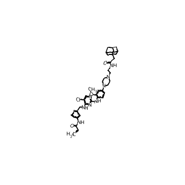 C=CC(=O)Nc1cccc(CNc2nc(Nc3ccc(N4CCN(CCNC(=O)CC56CC7CC(CC(C7)C5)C6)CC4)cc3OC)ncc2Cl)c1